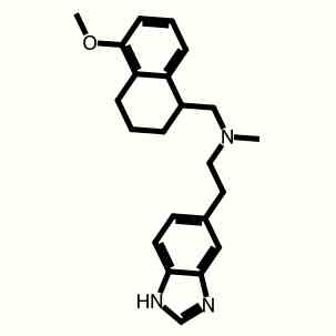 COc1cccc2c1CCCC2CN(C)CCc1ccc2[nH]cnc2c1